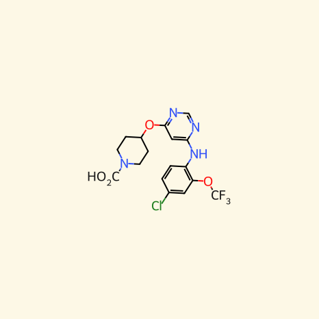 O=C(O)N1CCC(Oc2cc(Nc3ccc(Cl)cc3OC(F)(F)F)ncn2)CC1